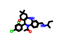 CCC(C)NCc1ccc2c(c1)NC1=C(C(=O)CC(C)(C)C1)C(c1ccc(Cl)cc1Cl)N2C(C)=O